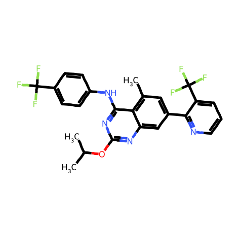 Cc1cc(-c2ncccc2C(F)(F)F)cc2nc(OC(C)C)nc(Nc3ccc(C(F)(F)F)cc3)c12